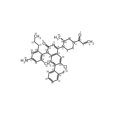 C=CC(=O)N1CCN(c2nc(=O)n(-c3c(C)cc(N)nc3CCC)c3nc(-c4ccccc4F)c(Cl)cc23)[C@@H](C)C1